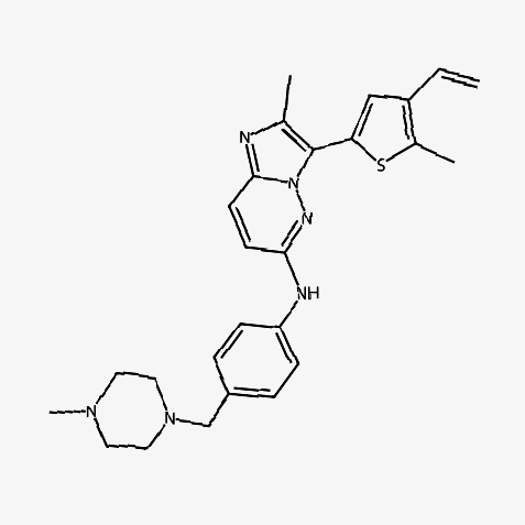 C=Cc1cc(-c2c(C)nc3ccc(Nc4ccc(CN5CCN(C)CC5)cc4)nn23)sc1C